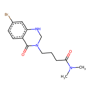 CN(C)C(=O)CCCN1CNc2cc(Br)ccc2C1=O